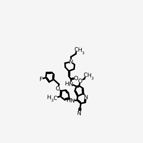 CCCN1CCC(=CC(=O)Nc2cc3c(Nc4ccc(OCc5cccc(F)c5)c(C)c4)c(C#N)cnc3cc2OCC)CC1